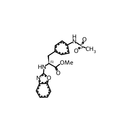 COC(=O)[C@H](Cc1ccc(NS(C)(=O)=O)cc1)Nc1nc2ccccc2o1